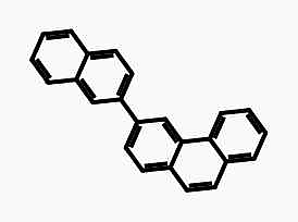 [c]1cccc2ccc(-c3ccc4ccc5ccccc5c4c3)cc12